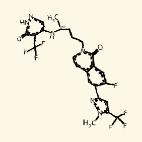 C[C@@H](CCCn1ccc2cc(-c3cc(C(F)(F)F)n(C)n3)c(F)cc2c1=O)Nc1cn[nH]c(=O)c1C(F)(F)F